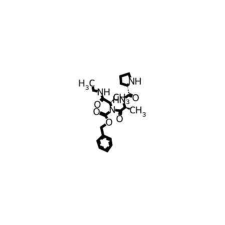 CCNC(=O)[C@H](C)N(C(=O)OCc1ccccc1)C(=O)[C@H](C)NC(=O)[C@@H]1CCCN1